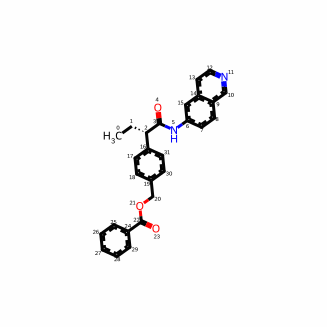 CC[C@H](C(=O)Nc1ccc2cnccc2c1)c1ccc(COC(=O)c2ccccc2)cc1